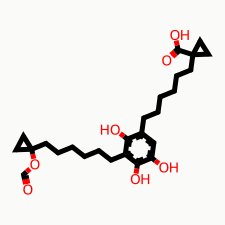 O=COC1(CCCCCCc2c(O)c(O)cc(CCCCCCC3(C(=O)O)CC3)c2O)CC1